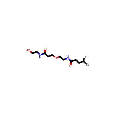 CCC(CC)CCC(=O)NCCOCCC(=O)NCCO